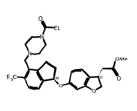 CCC(=O)N1CCN(Cc2c(C(F)(F)F)ccc3c2CC[C@H]3Oc2ccc3c(c2)OC[C@H]3CC(=O)OC)CC1